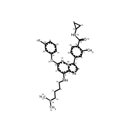 Cc1cc(-c2cnc3c(NCCCCN(C)C)cc(Oc4cccc(F)c4)nn23)ccc1C(=O)NC1CC1